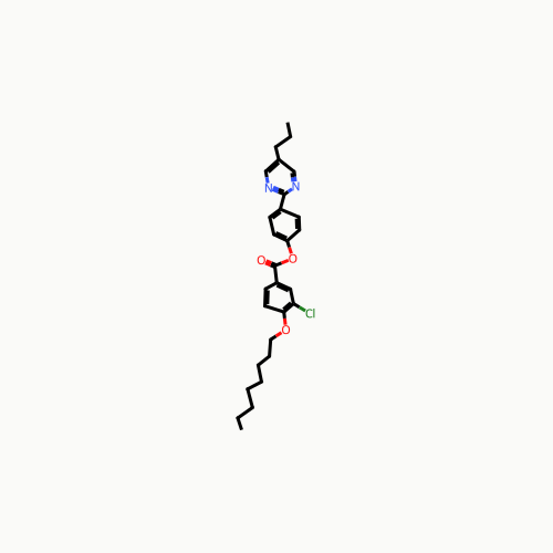 CCCCCCCCOc1ccc(C(=O)Oc2ccc(-c3ncc(CCC)cn3)cc2)cc1Cl